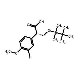 COc1ccc([C@@H](CO[Si](C)(C)C(C)(C)C)C(=O)O)cc1F